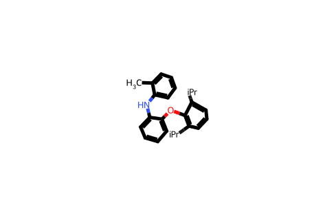 Cc1ccccc1Nc1ccccc1Oc1c(C(C)C)cccc1C(C)C